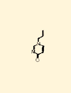 C=CCn1ccc(=O)nc1